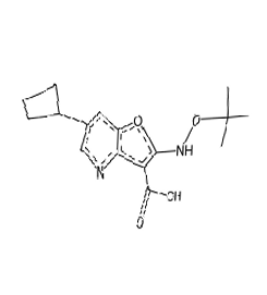 CC(C)(C)ONc1oc2cc(C3CCC3)cnc2c1C(=O)O